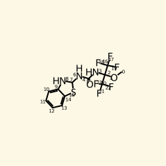 COC(NC(=O)NC1Nc2ccccc2S1)(C(F)(F)F)C(F)(F)F